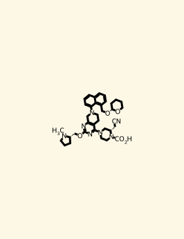 CN1CCC[C@H]1COc1nc2c(c(N3CCN(C(=O)O)[C@@H](CC#N)C3)n1)CCN(c1cccc3cccc(CO[C@@H]4CCCCO4)c13)C2